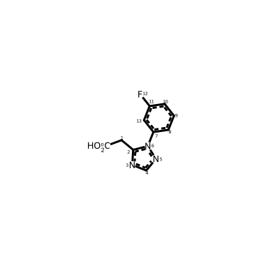 O=C(O)Cc1ncnn1-c1cccc(F)c1